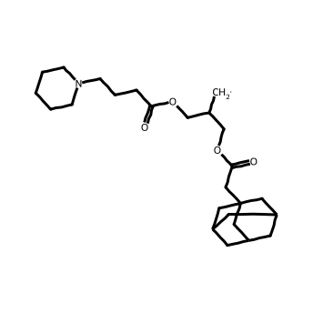 [CH2]C(COC(=O)CCCN1CCCCC1)COC(=O)CC12CC3CC(CC(C3)C1)C2